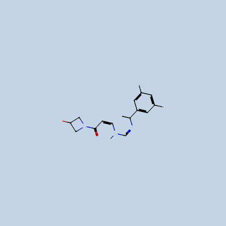 CC(/N=C\N(C)/C=C\C(=O)N1CC(O)C1)c1cc(C(F)(F)F)cc(C(F)(F)F)c1